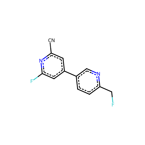 N#Cc1cc(-c2ccc(CF)nc2)cc(F)n1